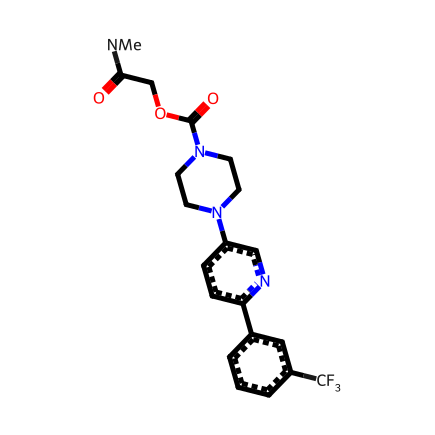 CNC(=O)COC(=O)N1CCN(c2ccc(-c3cccc(C(F)(F)F)c3)nc2)CC1